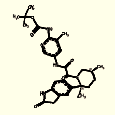 Cc1cc(NC(=O)C(=O)N2C[C@@H](C)CC[C@@]2(C)c2ccc3c(c2)CC(=O)N3)cnc1NC(=O)OC(C)(C)C